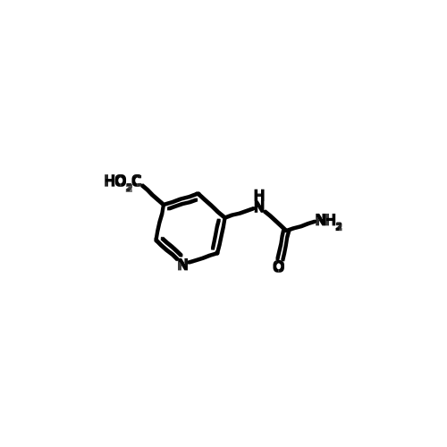 NC(=O)Nc1cncc(C(=O)O)c1